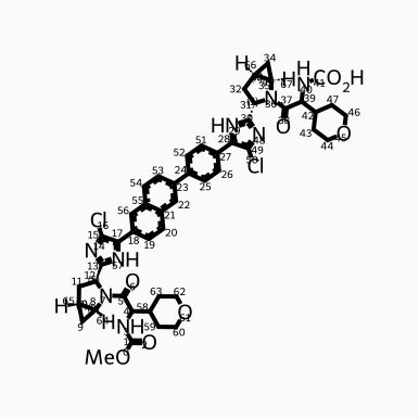 COC(=O)NC(C(=O)N1[C@@H]2C[C@@H]2C[C@H]1c1nc(Cl)c(-c2ccc3cc(-c4ccc(-c5[nH]c([C@@H]6C[C@H]7C[C@H]7N6C(=O)C(NC(=O)O)C6CCOCC6)nc5Cl)cc4)ccc3c2)[nH]1)C1CCOCC1